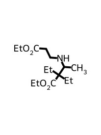 CCOC(=O)CCNC(C)C(CC)(CC)C(=O)OCC